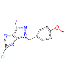 COc1ccc(Cn2nc(I)c3ncc(Cl)nc32)cc1